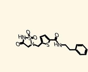 O=C1CN(Cc2ccc(C(=O)NCCc3ccccc3)s2)S(=O)(=O)N1